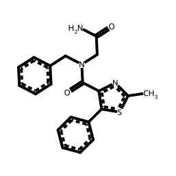 Cc1nc(C(=O)N(CC(N)=O)Cc2ccccc2)c(-c2ccccc2)s1